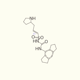 O=C(Nc1c2c(cc3c1CCC3)CCC2)NS(=O)(=O)/C=C/CC1CCCN1